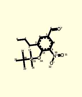 CCCc1cc(C=O)cc([N+](=O)[O-])c1O[Si](C)(C)C(C)(C)C